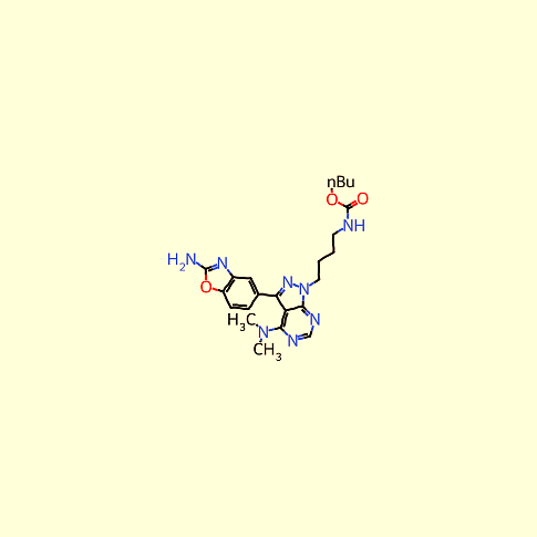 CCCCOC(=O)NCCCCn1nc(-c2ccc3oc(N)nc3c2)c2c(N(C)C)ncnc21